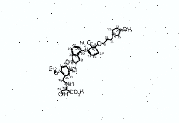 CCOc1cc(O[C@H]2CCc3c(-c4cccc(OCCCN5CC[C@@H](O)C5)c4C)cccc32)c(Cl)cc1CNC(CO)C(=O)O